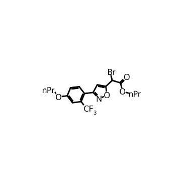 CCCOC(=O)C(Br)c1cc(-c2ccc(OCCC)cc2C(F)(F)F)no1